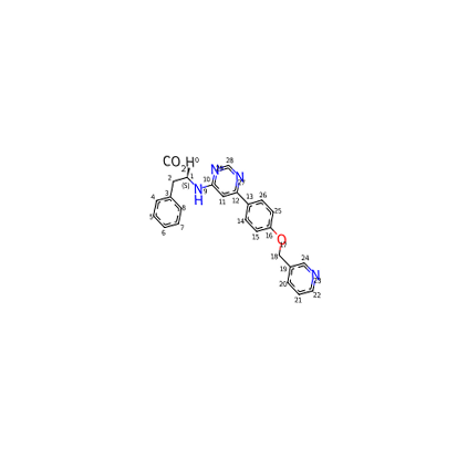 O=C(O)[C@H](Cc1ccccc1)Nc1cc(-c2ccc(OCc3cccnc3)cc2)ncn1